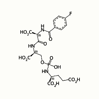 O=C(O)CC[C@H](NP(=O)(O)OC[C@H](NC(=O)[C@H](NC(=O)c1ccc(F)cc1)C(=O)O)C(=O)O)C(=O)O